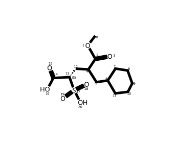 COC(=O)C(CC1CCCCC1)C[C@@H](C(=O)O)S(=O)(=O)O